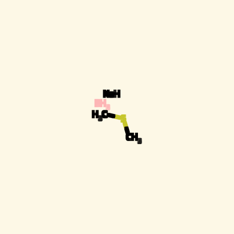 B.CSC.[NaH]